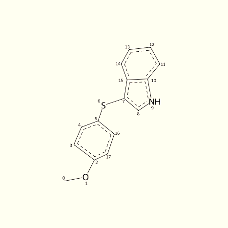 COc1ccc(Sc2c[nH]c3ccccc23)cc1